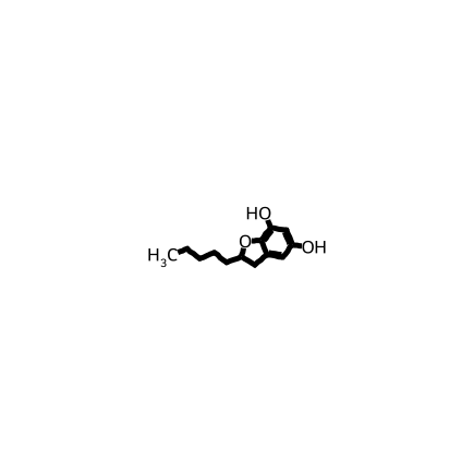 CCCCCC1Cc2cc(O)cc(O)c2O1